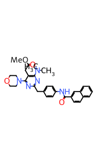 COC(=O)Cc1c(N(C)C)nc(Cc2ccc(NC(=O)c3ccc4ccccc4c3)cc2)nc1N1CCOCC1